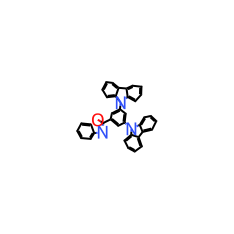 c1ccc2oc(-c3cc(-n4c5ccccc5c5ccccc54)cc(-n4c5ccccc5c5ccccc54)c3)nc2c1